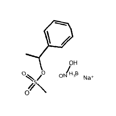 B.CC(OS(C)(=O)=O)c1ccccc1.O=NO.[Na+]